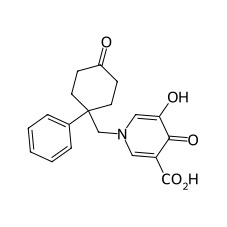 O=C1CCC(Cn2cc(O)c(=O)c(C(=O)O)c2)(c2ccccc2)CC1